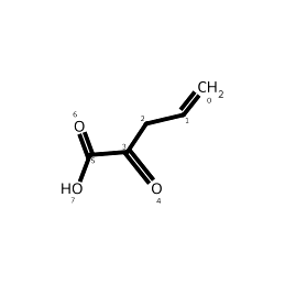 C=CCC(=O)C(=O)O